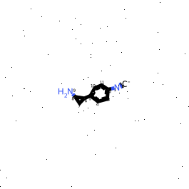 [C-]#[N+]c1ccc(C2CC2N)cc1